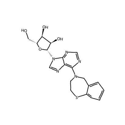 OC[C@H]1O[C@@H](n2cnc3c(N4CCSc5ccccc5C4)ncnc32)[C@H](O)[C@@H]1O